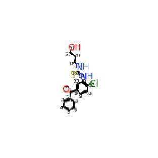 O=C(c1ccccc1)c1ccc(Cl)c(NC(=S)NCCCO)c1